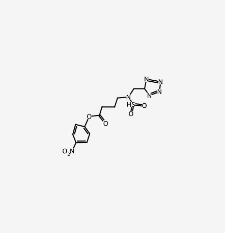 O=C(CCCN(CC1N=NN=N1)[SH](=O)=O)Oc1ccc([N+](=O)[O-])cc1